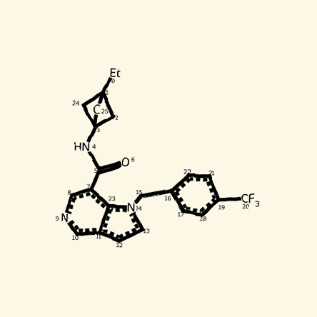 CCC12CC(NC(=O)c3cncc4ccn(Cc5ccc(C(F)(F)F)cc5)c34)(C1)C2